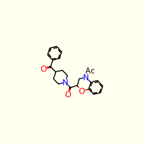 CC(=O)N1CC(C(=O)N2CCC(C(=O)c3ccccc3)CC2)Oc2ccccc21